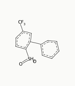 O=[SH](=O)c1ccc(C(F)(F)F)cc1-c1ccccc1